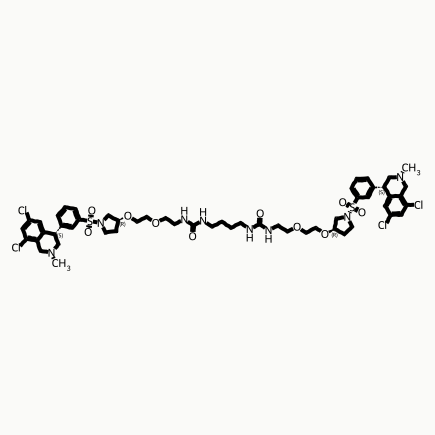 CN1Cc2c(Cl)cc(Cl)cc2[C@H](c2cccc(S(=O)(=O)N3CC[C@@H](OCCOCCNC(=O)NCCCCNC(=O)NCCOCCO[C@@H]4CCN(S(=O)(=O)c5cccc([C@@H]6CN(C)Cc7c(Cl)cc(Cl)cc76)c5)C4)C3)c2)C1